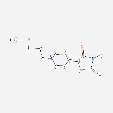 CCN1C(=O)C(=C2C=CN(CCCCS(=O)(=O)O)C=C2)SC1=S